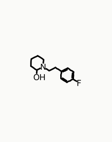 OC1CCCCN1CCc1ccc(F)cc1